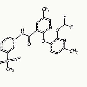 Cc1ccc(Oc2ncc(C(F)(F)F)cc2C(=O)Nc2cccc(S(C)(=N)=O)c2)c(OC(F)F)n1